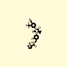 Cn1nccc1C(=O)NCc1ccc(N2C(=S)N(c3ccc(C#N)c(C(F)(F)F)c3)C(=O)C23CC3)cc1F